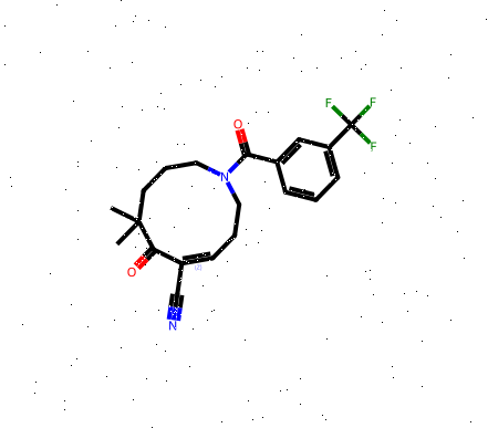 CC1(C)CCCN(C(=O)c2cccc(C(F)(F)F)c2)CC/C=C(/C#N)C1=O